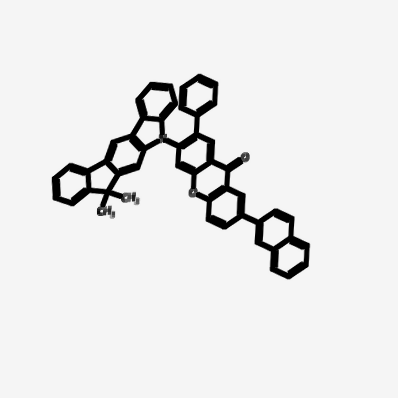 CC1(C)c2ccccc2-c2cc3c4ccccc4n(-c4cc5oc6ccc(-c7ccc8ccccc8c7)cc6c(=O)c5cc4-c4ccccc4)c3cc21